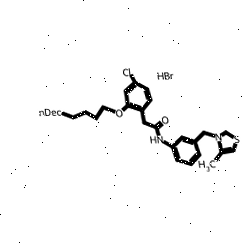 Br.CCCCCCCCCCCCCCOc1cc(Cl)ccc1CC(=O)Nc1cccc(CN2CSC=C2C)c1